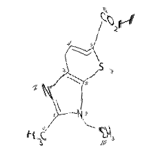 Cc1nc2cc(C(=O)O)sc2n1C